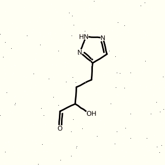 O=CC(O)CCc1cn[nH]n1